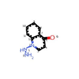 NNn1ccc(=O)c2ccccc21